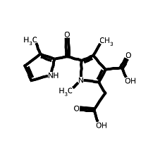 Cc1cc[nH]c1C(=O)c1c(C)c(C(=O)O)c(CC(=O)O)n1C